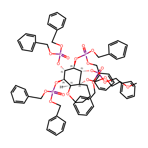 COCCOCO[C@]12CCCCO[C@H]1[C@@H](OP(=O)(OCc1ccccc1)OCc1ccccc1)[C@H](OP(=O)(OCc1ccccc1)OCc1ccccc1)[C@@H](OP(=O)(OCc1ccccc1)OCc1ccccc1)[C@@H]2OP(=O)(OCc1ccccc1)OCc1ccccc1